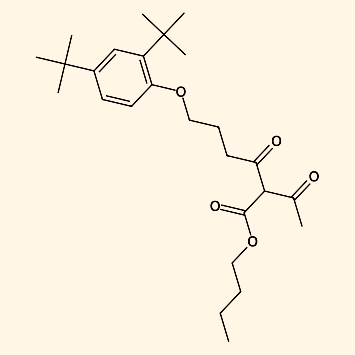 CCCCOC(=O)C(C(C)=O)C(=O)CCCOc1ccc(C(C)(C)C)cc1C(C)(C)C